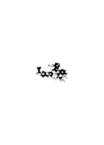 Cc1cncc2c1c(C[C@@H]1CCN(CC3CCN(C(=O)C4CC4)CC3)C1)cn2-c1ccc(F)cc1C(=O)N(C)C(C)C